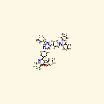 c1ccc(-c2nc(-c3ccc(-c4nc5ccccc5c5oc6ccccc6c45)cc3)cc(-c3ccc(-n4c5ccccc5c5ccccc54)cc3)n2)cc1